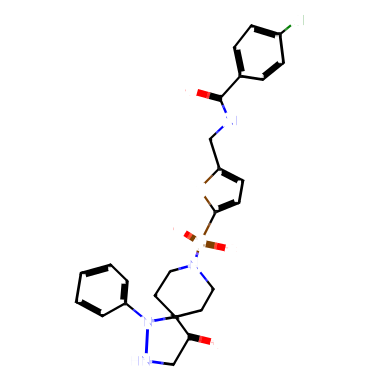 O=C(NCc1ccc(S(=O)(=O)N2CCC3(CC2)C(=O)CNN3c2ccccc2)s1)c1ccc(Cl)cc1